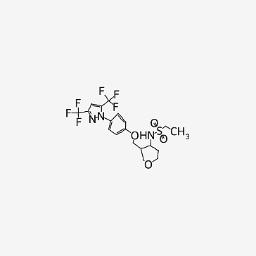 CCS(=O)(=O)NC1CCOCC1COc1ccc(-n2nc(C(F)(F)F)cc2C(F)(F)F)cc1